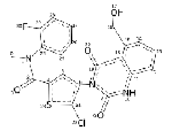 CN(C(=O)c1cc(-n2c(=O)[nH]c3cccc(CO)c3c2=O)c(Cl)s1)c1ccccc1F